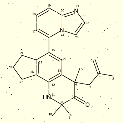 C=C(C)CC1(C)C(=O)C(C)(C)Nc2c1cc(-c1cccc3nccn13)c1c2CCC1